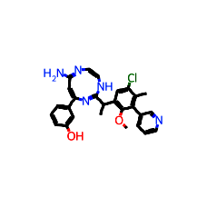 COc1c(C(C)c2nc(-c3cccc(O)c3)cc(N)ncc[nH]2)cc(Cl)c(C)c1-c1cccnc1